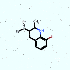 CC[SiH](CC)C1Cc2cccc(Br)c2NC1C